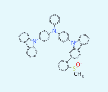 C[S+]([O-])c1ccccc1-c1ccc2c3ccccc3n(-c3ccc(N(c4ccccc4)c4ccc(-n5c6ccccc6c6ccccc65)cc4)cc3)c2c1